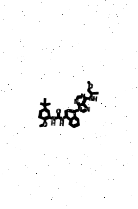 COCC(C)Nc1ncnc2c1ncn2-c1ccc(NC(=O)Nc2cc(C(C)(C)C)ccc2OC)c2ccccc12